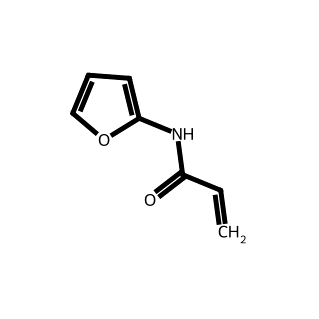 C=CC(=O)Nc1ccco1